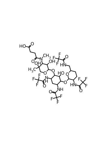 CN(C(=O)CCC(=O)O)C1C(O)C(OC2C(NC(=O)C(F)(F)F)CC(NC(=O)C(F)(F)F)C(OC3OC(CNC(=O)C(F)(F)F)CCC3NC(=O)C(F)(F)F)C2O)OCC1(C)O